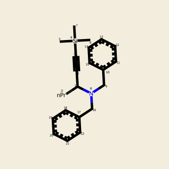 CCCC(C#C[Si](C)(C)C)N(Cc1ccccc1)Cc1ccccc1